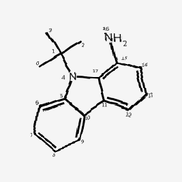 CC(C)(C)n1c2ccccc2c2cccc(N)c21